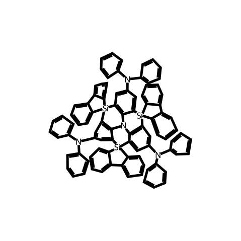 c1ccc(N(c2ccccc2)c2cc3c4c(c2)[Si]2(c5ccccc5-c5ccccc52)c2cc(N(c5ccccc5)c5ccccc5)cc5c2N4c2c(cc(N(c4ccccc4)c4ccccc4)cc2[Si]52c4ccccc4-c4ccccc42)[Si]32c3ccccc3-c3ccccc32)cc1